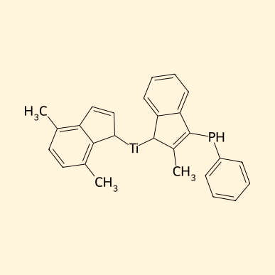 CC1=C(Pc2ccccc2)c2ccccc2[CH]1[Ti][CH]1C=Cc2c(C)ccc(C)c21